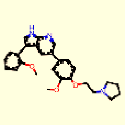 COc1cc(-c2cnc3[nH]cc(-c4ccccc4OC)c3c2)ccc1OCCN1CCCC1